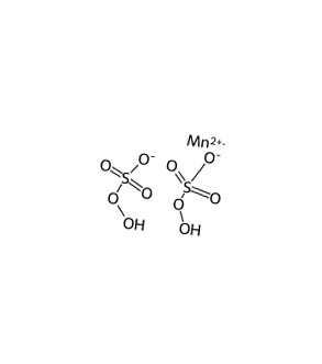 O=S(=O)([O-])OO.O=S(=O)([O-])OO.[Mn+2]